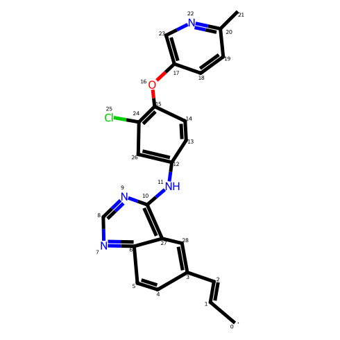 [CH2]C=Cc1ccc2ncnc(Nc3ccc(Oc4ccc(C)nc4)c(Cl)c3)c2c1